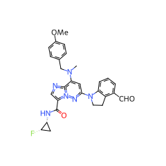 COc1ccc(CN(C)c2cc(N3CCc4c(C=O)cccc43)nn3c(C(=O)N[C@@H]4C[C@@H]4F)cnc23)cc1